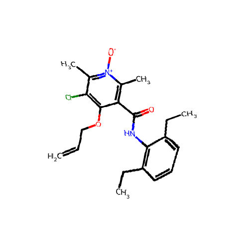 C=CCOc1c(Cl)c(C)[n+]([O-])c(C)c1C(=O)Nc1c(CC)cccc1CC